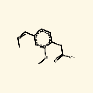 C/C=C\c1ccc(CC(=O)O)c(OC)c1